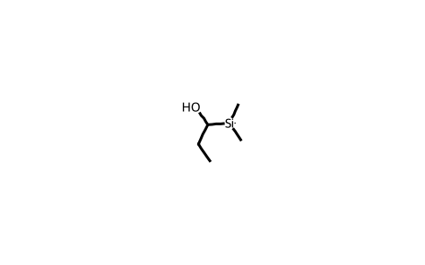 CCC(O)[Si](C)C